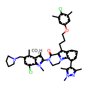 Cc1cc(OCCCc2c3n(c4c(-c5c(C)nn(C)c5C)cccc24)CCN(c2c(C(=O)O)c4c(C)c(CN5CCCC5)cc(Cl)c4n2C)C3=O)cc(C)c1Cl